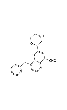 O=CC1C=C(C2CNCCO2)Oc2c(Cc3ccccc3)cccc21